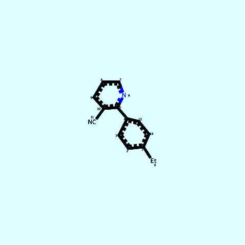 CCc1ccc(-c2ncccc2C#N)cc1